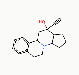 C#CC1(O)CC2c3ccccc3CCN2C2CCCC21